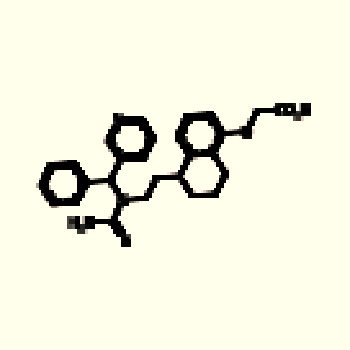 NC(=S)N(CCC1CCCc2c(OCC(=O)O)cccc21)C(c1ccccc1)c1cccnc1